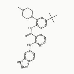 CN1CCN(c2cc(C(C)(C)C)ccc2NC(=O)c2cccnc2Nc2ccc3cn[nH]c3c2)CC1